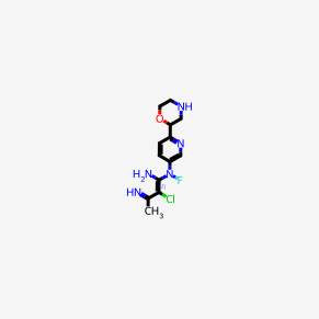 CC(=N)/C(Cl)=C(\N)N(F)c1ccc(C2CNCCO2)nc1